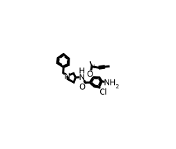 CC#C[C@H](C)Oc1cc(N)c(Cl)cc1C(=O)NC1CCN(Cc2ccccc2)C1